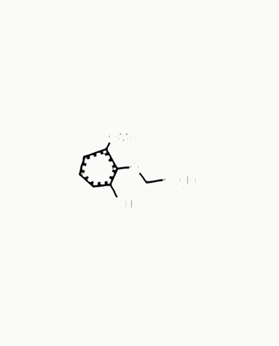 CCOC(=O)COc1c(C)cccc1OC